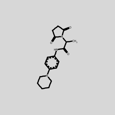 CC(C(=O)Nc1ccc(N2CCCCC2)cc1)N1C(=O)CCC1=O